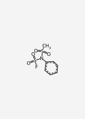 CS(=O)(=O)N(c1ccccc1)S(=O)(=O)F